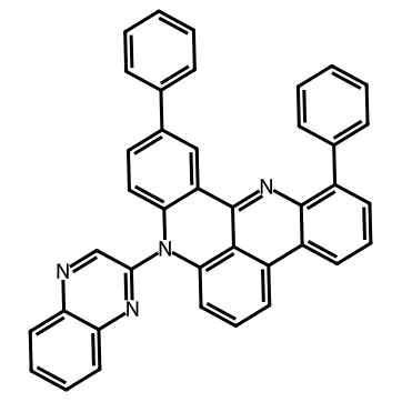 c1ccc(-c2ccc3c(c2)-c2nc4c(-c5ccccc5)cccc4c4cccc(c24)N3c2cnc3ccccc3n2)cc1